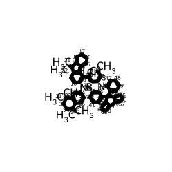 C=C(C)/C=C1\C2=C(C)c3c(ccc4c3-c3ccccc3C4(C)C)N(c3ccc4c(c3)C(C)(C)CCC4(C)C)B2c2cccc3c2N1c1ccccc1C31c2ccccc2-c2ccccc21